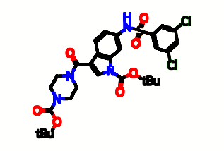 CC(C)(C)OC(=O)N1CCN(C(=O)c2cn(C(=O)OC(C)(C)C)c3cc(NS(=O)(=O)c4cc(Cl)cc(Cl)c4)ccc23)CC1